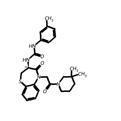 Cc1cccc(NC(=O)N[C@@H]2CSc3ccccc3N(CC(=O)N3CCCC(C)(C)C3)C2=O)c1